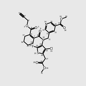 C#CCOC(=O)C1=C(C(=O)N(Cc2cncc(C(=O)OC)c2)c2c(F)sc(CC(=O)OC)c2Cl)CCCC1